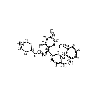 O=c1ccc(C(=NOCC2CCNCC2)c2ccc(F)cc2F)cn1-c1c(Cl)cccc1Cl